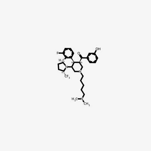 Cc1c(F)cccc1[C@@H]1[C](N2CCC[C@H]2C(F)(F)F)CN(CCCCCN(C)C)C[C@@H]1C(=O)c1cccc(O)c1